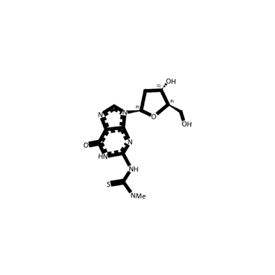 CNC(=S)Nc1nc2c(ncn2[C@H]2C[C@H](O)[C@@H](CO)O2)c(=O)[nH]1